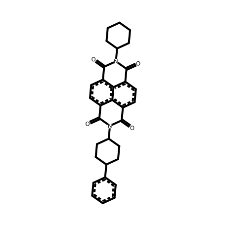 O=C1c2ccc3c4c(ccc(c24)C(=O)N1C1CCCCC1)C(=O)N(C1CCC(c2ccccc2)CC1)C3=O